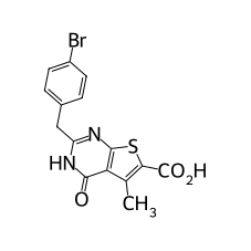 Cc1c(C(=O)O)sc2nc(Cc3ccc(Br)cc3)[nH]c(=O)c12